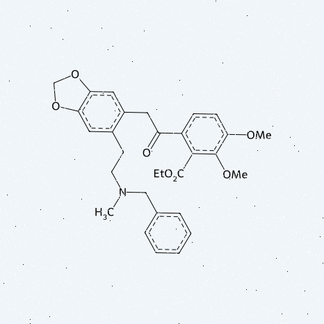 CCOC(=O)c1c(C(=O)Cc2cc3c(cc2CCN(C)Cc2ccccc2)OCO3)ccc(OC)c1OC